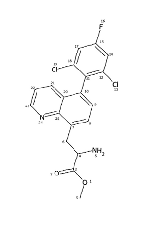 COC(=O)C(N)Cc1ccc(-c2c(Cl)cc(F)cc2Cl)c2cccnc12